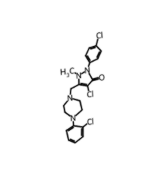 Cn1c(CN2CCN(c3ccccc3Cl)CC2)c(Cl)c(=O)n1-c1ccc(Cl)cc1